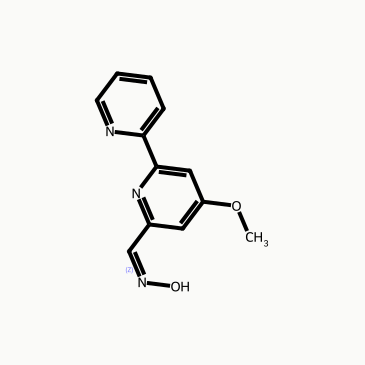 COc1cc(/C=N\O)nc(-c2ccccn2)c1